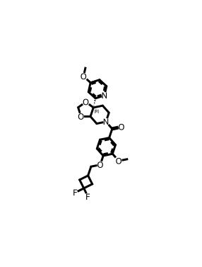 COc1ccnc([C@]23CCN(C(=O)c4ccc(OCC5CC(F)(F)C5)c(OC)c4)CC2OCO3)c1